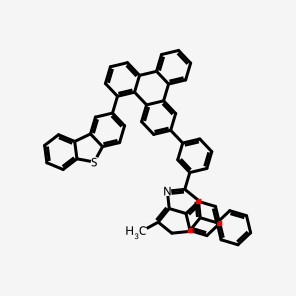 C\C1=C(c2ccccc2)/N=C(c2cccc(-c3ccc4c(c3)c3ccccc3c3cccc(-c5ccc6sc7ccccc7c6c5)c34)c2)\C=C(\c2ccccc2)CC1